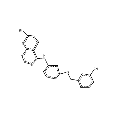 CC(C)c1ccc2c(Nc3cccc(OCc4cccc(C#N)c4)c3)ncnc2n1